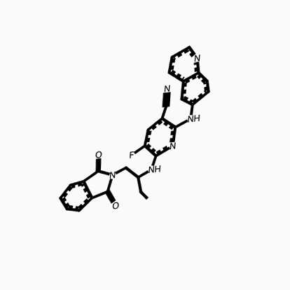 CCC(CN1C(=O)c2ccccc2C1=O)Nc1nc(Nc2ccc3ncccc3c2)c(C#N)cc1F